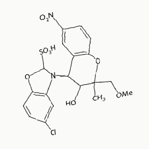 COCC1(C)Oc2ccc([N+](=O)[O-])cc2C(N2c3cc(Cl)ccc3OC2S(=O)(=O)O)C1O